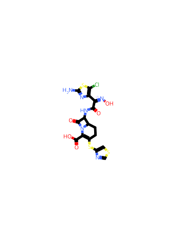 Nc1nc(/C(=N/O)C(=O)NC2C(=O)N3C(C(=O)O)=C(Sc4cscn4)CCC23)c(Cl)s1